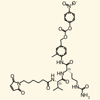 Cc1cc(COC(=O)Oc2ccc([N+](=O)[O-])cc2)ccc1NC(=O)[C@H](CCCNC(N)=O)NC(=O)[C@@H](NC(=O)CCCCCN1C(=O)C=CC1=O)C(C)C